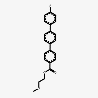 COCCOC(=O)c1ccc(-c2ccc(-c3ccc(F)cc3)cc2)cc1